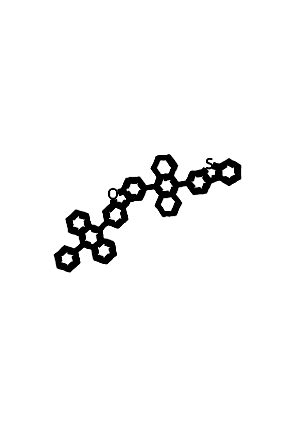 C1=Cc2c(c(-c3ccc4oc5cc(-c6c7ccccc7c(-c7ccccc7)c7ccccc67)ccc5c4c3)c3c(c2-c2ccc4c(c2)sc2ccccc24)C=CCC3)CC1